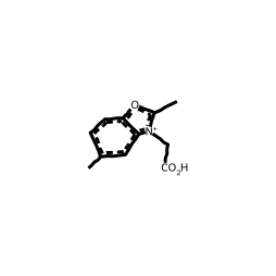 Cc1ccc2oc(C)[n+](CC(=O)O)c2c1